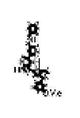 COc1cc(F)cc(-c2nccc3[nH]c(-c4n[nH]c5ncc(-c6cncc(CNCc7ccccc7)c6)cc45)cc23)c1